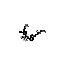 C=C(/N=C(\ON)c1ccc(OCCC)c(C#N)c1)c1cccc2c1ccn2CCCC(=O)OCC